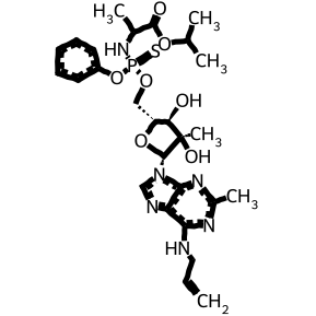 C=CCNc1nc(C)nc2c1ncn2[C@@H]1O[C@H](COP(=S)(NC(C)C(=O)OC(C)C)Oc2ccccc2)[C@@H](O)[C@@]1(C)O